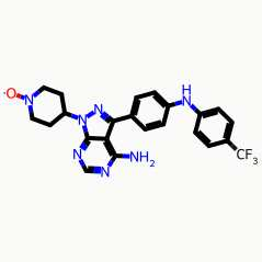 Nc1ncnc2c1c(-c1ccc(Nc3ccc(C(F)(F)F)cc3)cc1)nn2C1CCN([O])CC1